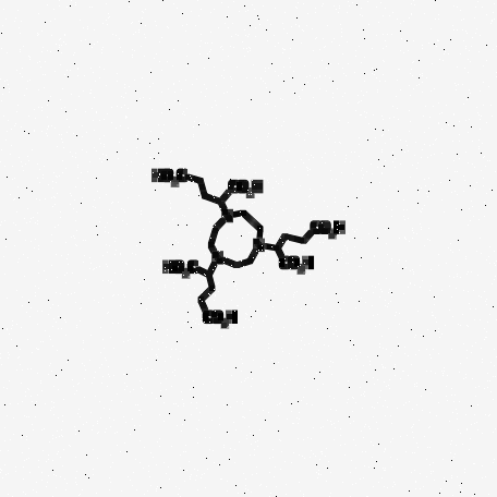 O=C(O)CCC(C(=O)O)N1CCN(C(CCC(=O)O)C(=O)O)CCN(C(CCC(=O)O)C(=O)O)CC1